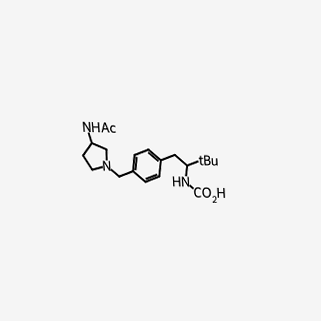 CC(=O)NC1CCN(Cc2ccc(CC(NC(=O)O)C(C)(C)C)cc2)C1